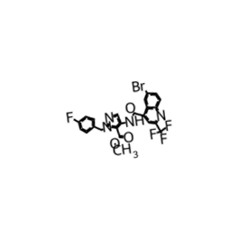 COC(=O)c1c(NC(=O)c2cc(C(F)(F)F)nc3ccc(Br)cc23)cnn1Cc1ccc(F)cc1